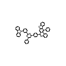 c1ccc(-c2cc(-c3ccc(-c4nc5ccccc5c5c(-c6ccccc6)c6c(cc45)oc4ccccc46)cc3)nc(-c3cccc(-n4c5ccccc5c5ccccc54)c3)n2)cc1